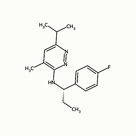 CC[C@H](Nc1nnc(C(C)C)cc1C)c1ccc(F)cc1